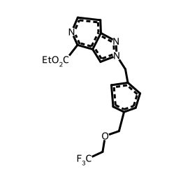 CCOC(=O)c1nccc2nn(Cc3ccc(COCC(F)(F)F)cc3)cc12